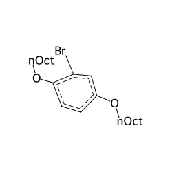 CCCCCCCCOc1ccc(OCCCCCCCC)c(Br)c1